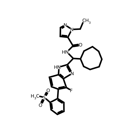 CCn1nccc1C(=O)NC(c1nc2c(F)c(-c3ccccc3S(C)(=O)=O)ccc2[nH]1)C1CCCCCCC1